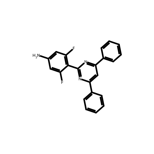 Nc1cc(F)c(-c2nc(-c3ccccc3)cc(-c3ccccc3)n2)c(F)c1